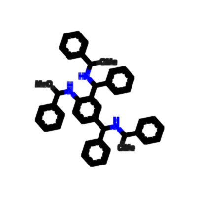 COC(Nc1ccc(C(NC(OC)c2ccccc2)c2ccccc2)cc1C(NC(OC)c1ccccc1)c1ccccc1)c1ccccc1